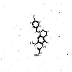 CCSc1cc2c(c(C)c1NC(=O)CC(C)(C)C)CCCN2Cc1ccc(F)cc1